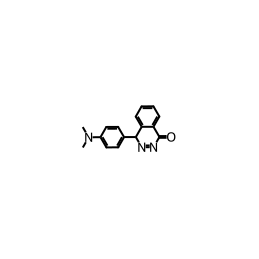 CN(C)c1ccc(C2N=NC(=O)c3ccccc32)cc1